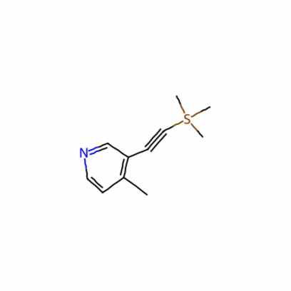 Cc1ccncc1C#CS(C)(C)C